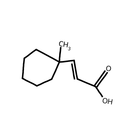 CC1(C=CC(=O)O)CCCCC1